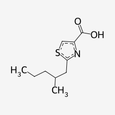 CCCC(C)Cc1nc(C(=O)O)cs1